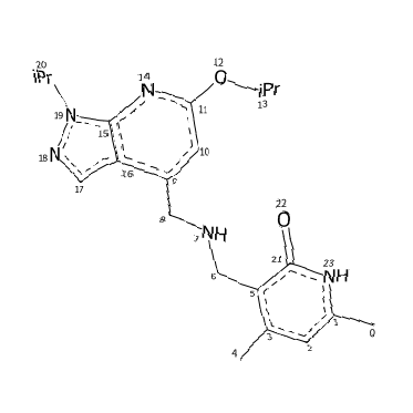 Cc1cc(C)c(CNCc2cc(OC(C)C)nc3c2cnn3C(C)C)c(=O)[nH]1